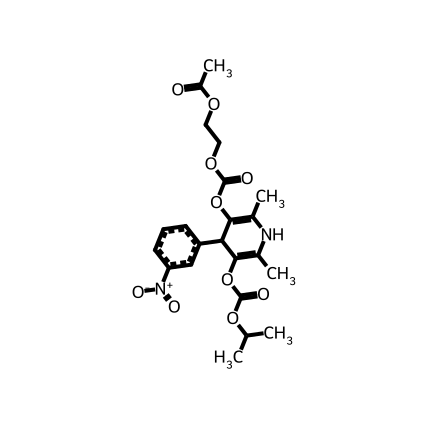 CC(=O)OCCOC(=O)OC1=C(C)NC(C)=C(OC(=O)OC(C)C)C1c1cccc([N+](=O)[O-])c1